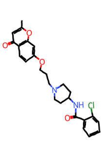 Cc1cc(=O)c2ccc(OCCCN3CCC(NC(=O)c4ccccc4Cl)CC3)cc2o1